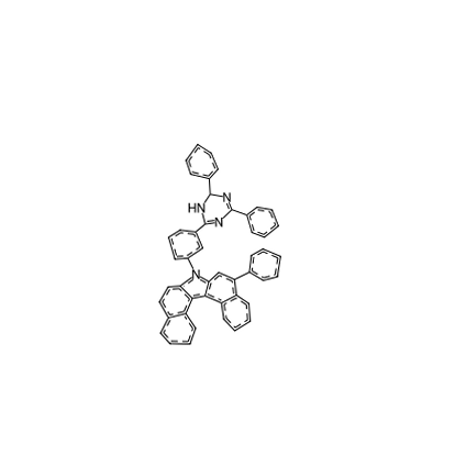 c1ccc(C2=NC(c3ccccc3)NC(c3cccc(-n4c5ccc6ccccc6c5c5c6ccccc6c(-c6ccccc6)cc54)c3)=N2)cc1